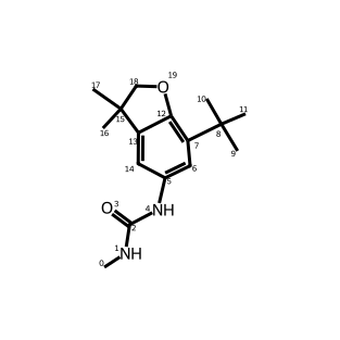 CNC(=O)Nc1cc(C(C)(C)C)c2c(c1)C(C)(C)CO2